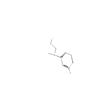 C[C@](N)(CCO)C1=CCCC(Br)=C1